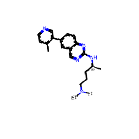 CCN(CC)CCC[C@H](C)Nc1ncc2cc(-c3cnccc3C)ccc2n1